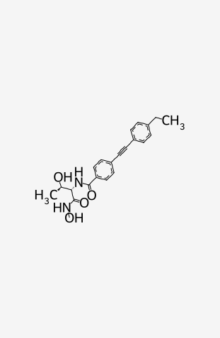 CCc1ccc(C#Cc2ccc(C(=O)N[C@H](C(=O)NO)[C@@H](C)O)cc2)cc1